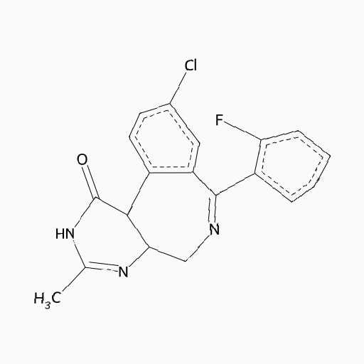 CC1=NC2CN=C(c3ccccc3F)c3cc(Cl)ccc3C2C(=O)N1